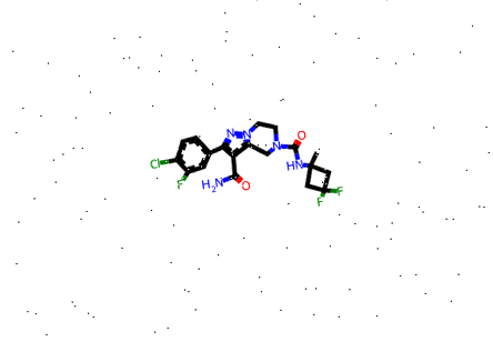 CC1(NC(=O)N2CCn3nc(-c4ccc(Cl)c(F)c4)c(C(N)=O)c3C2)CC(F)(F)C1